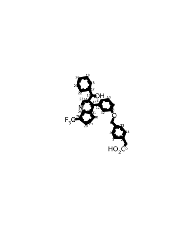 O=C(O)Cc1ccc(COc2cccc(-c3c(C(O)c4ccccc4)cnc4c(C(F)(F)F)cccc34)c2)cc1